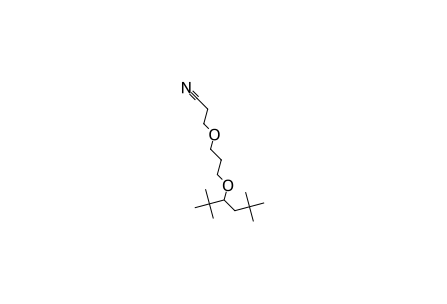 CC(C)(C)CC(OCCCOCCC#N)C(C)(C)C